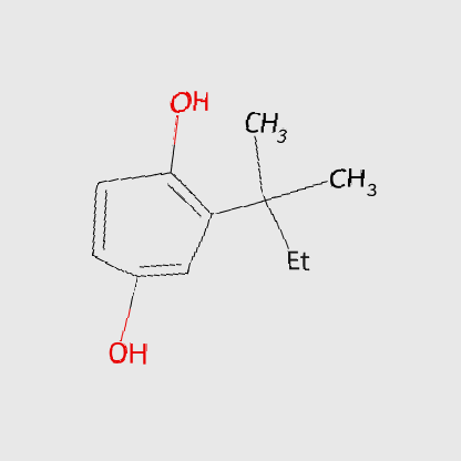 CCC(C)(C)c1cc(O)ccc1O